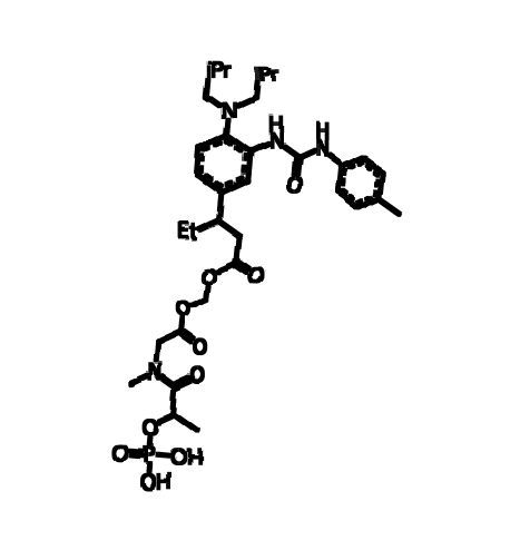 CCC(CC(=O)OCOC(=O)CN(C)C(=O)C(C)OP(=O)(O)O)c1ccc(N(CC(C)C)CC(C)C)c(NC(=O)Nc2ccc(C)cc2)c1